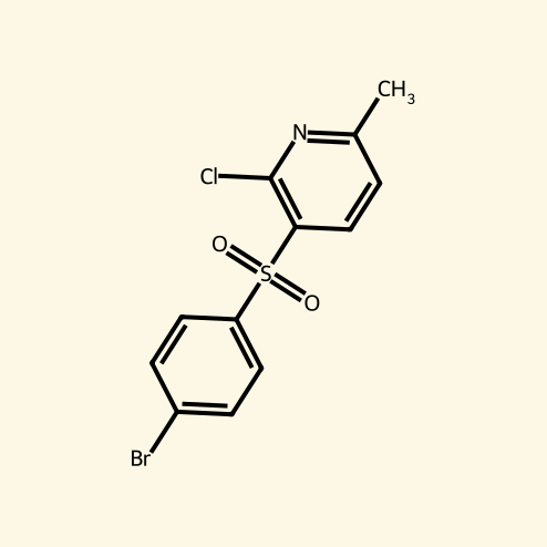 Cc1ccc(S(=O)(=O)c2ccc(Br)cc2)c(Cl)n1